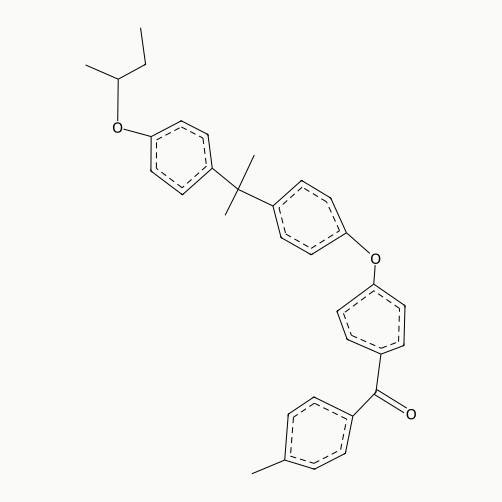 CCC(C)Oc1ccc(C(C)(C)c2ccc(Oc3ccc(C(=O)c4ccc(C)cc4)cc3)cc2)cc1